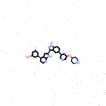 Oc1cc(F)cc(-c2ccnc3[nH]c(-c4n[nH]c5ccc(-c6cncc(OC7CCNCC7)c6)cc45)cc23)c1